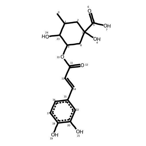 CC1CC(O)(C(=O)O)CC(OC(=O)/C=C/c2ccc(O)c(O)c2)C1O